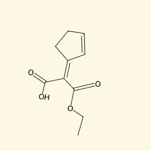 CCOC(=O)C(C(=O)O)=C1C=CCC1